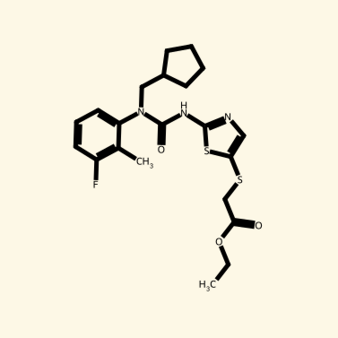 CCOC(=O)CSc1cnc(NC(=O)N(CC2CCCC2)c2cccc(F)c2C)s1